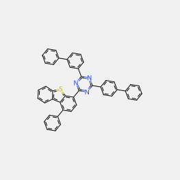 c1ccc(-c2ccc(-c3nc(-c4cccc(-c5ccccc5)c4)nc(-c4ccc(-c5ccccc5)c5c4sc4ccccc45)n3)cc2)cc1